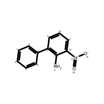 Nc1c(-c2ccccc2)cccc1[N+](=O)[O-]